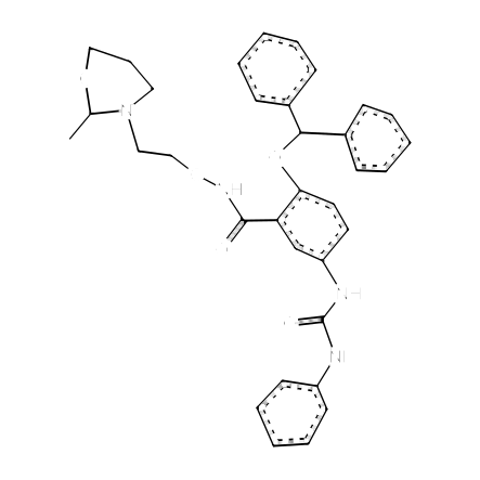 CC1CCCCN1CCCNC(=O)c1cc(NC(=O)Nc2ccccc2)ccc1OC(c1ccccc1)c1ccccc1